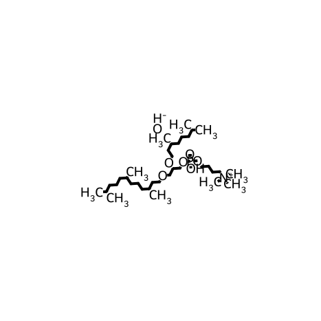 CC(C)CCCC(C)CCCC(C)CCOCC(COP(=O)(O)OCCCC[N+](C)(C)C)OCCC(C)CCCC(C)C.[OH-]